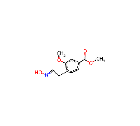 COC(=O)c1ccc(CC=NO)c(OC)c1